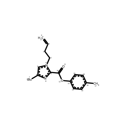 C=CCCn1cc(C(C)(C)C)nc1C(=O)Oc1ccc(C)cc1